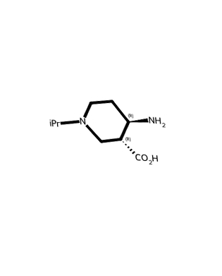 CC(C)N1CC[C@@H](N)[C@H](C(=O)O)C1